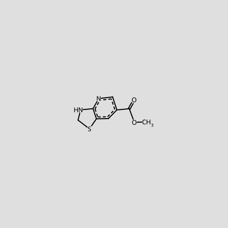 COC(=O)c1cnc2c(c1)SCN2